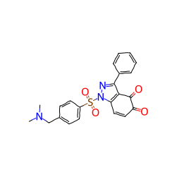 CN(C)Cc1ccc(S(=O)(=O)n2nc(-c3ccccc3)c3c2C=CC(=O)C3=O)cc1